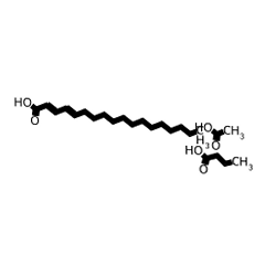 CC(=O)O.CCCC(=O)O.CCCCCCCCCCCCCC=CC=CC(=O)O